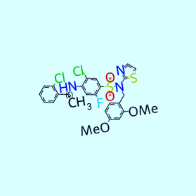 COc1ccc(CN(c2nccs2)S(=O)(=O)c2cc(Cl)c(N[C@@H](C)c3ccccc3Cl)cc2F)c(OC)c1